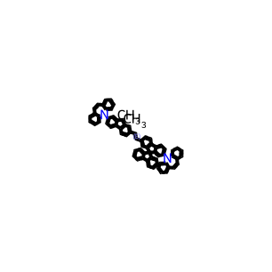 CC1(C)c2cc(/C=C/c3ccc4c(c3)C3(c5ccccc5-c5ccccc53)c3cc(N5C6=C(C=CCC6)C=Cc6ccccc65)ccc3-4)ccc2-c2ccc(N3c4ccccc4C=Cc4ccccc43)cc21